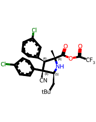 CC(C)(C)C[C@@H]1N[C@@](C)(C(=O)OC(=O)C(F)(F)F)[C@H](c2cccc(Cl)c2)[C@@]1(C#N)c1ccc(Cl)cc1